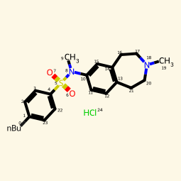 CCCCc1ccc(S(=O)(=O)N(C)c2ccc3c(c2)CCN(C)CC3)cc1.Cl